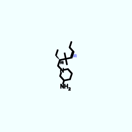 CC/C=C\C(C)(C)[C@@H](CC)CN1CCCC(N)C1